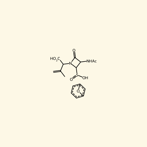 C=C(C)C(C(=O)O)N1C(=O)C(NC(C)=O)C1S(=O)O.c1cc2cc(c1)O2